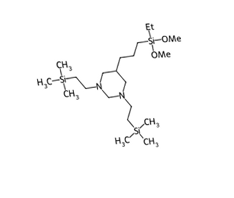 CC[Si](CCCC1CN(CC[Si](C)(C)C)CN(CC[Si](C)(C)C)C1)(OC)OC